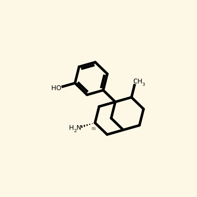 CC1CCC2C[C@H](N)CC1(c1cccc(O)c1)C2